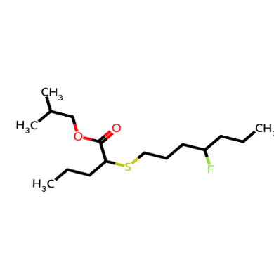 CCCC(F)CCCSC(CCC)C(=O)OCC(C)C